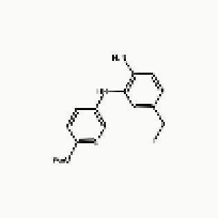 COc1ccc(Nc2cc(CI)ccc2N)cn1